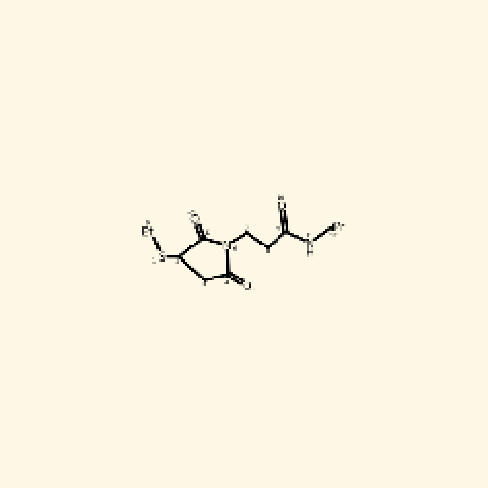 CCSC1CC(=O)N(CCC(=O)NC(C)C)C1=O